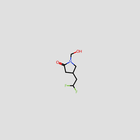 O=C1CC(CC(F)F)CN1CO